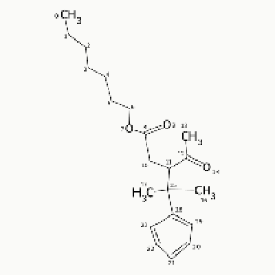 CCCCCCCOC(=O)CC(C(C)=O)C(C)(C)c1ccccc1